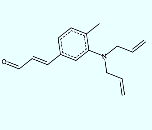 C=CCN(CC=C)c1cc(C=CC=O)ccc1C